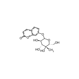 C[C@@]1(O)[C@H](O)[C@@H](O)C(Oc2ccc3ccc(=O)oc3c2)O[C@@H]1CO